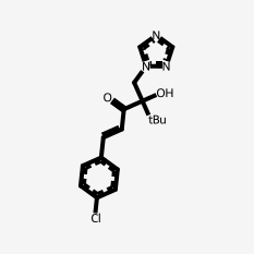 CC(C)(C)C(O)(Cn1cncn1)C(=O)C=Cc1ccc(Cl)cc1